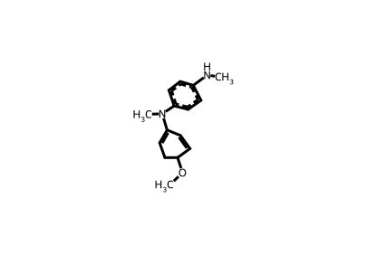 CNc1ccc(N(C)C2=CCC(OC)C=C2)cc1